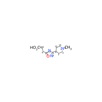 CN1CCC(c2noc(CCC(=O)O)n2)CC1